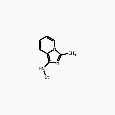 CCNc1nc(C)n2ccccc12